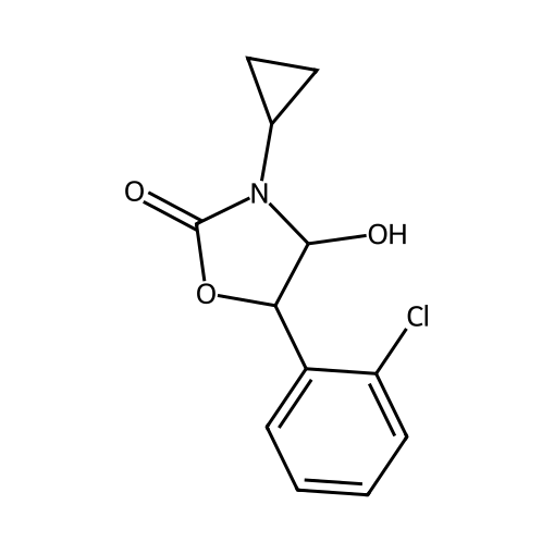 O=C1OC(c2ccccc2Cl)C(O)N1C1CC1